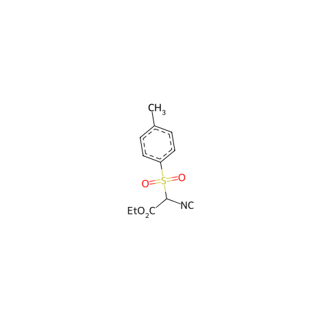 [C-]#[N+]C(C(=O)OCC)S(=O)(=O)c1ccc(C)cc1